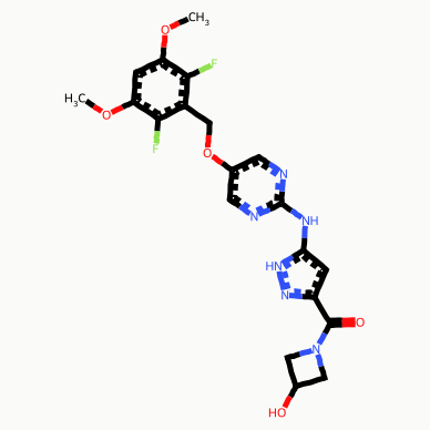 COc1cc(OC)c(F)c(COc2cnc(Nc3cc(C(=O)N4CC(O)C4)n[nH]3)nc2)c1F